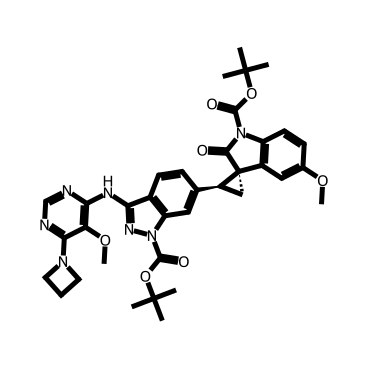 COc1ccc2c(c1)[C@]1(C[C@H]1c1ccc3c(Nc4ncnc(N5CCC5)c4OC)nn(C(=O)OC(C)(C)C)c3c1)C(=O)N2C(=O)OC(C)(C)C